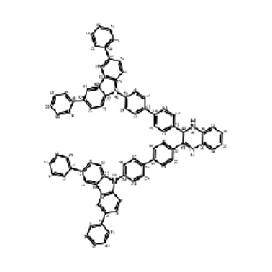 c1ccc(-c2ccc3c(c2)c2cc(-c4ccccc4)ccc2n3-c2ccc(-c3ccc(C4=Nc5ccccc5NC4c4ccc(-c5ccc(-n6c7ccc(-c8ccccc8)cc7c7cc(-c8ccccc8)ccc76)cc5)cc4)cc3)cc2)cc1